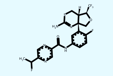 CC(F)c1cnc(C(=O)Nc2ccc(F)c([C@]34CO[C@H](C(F)(F)F)[C@H]3CSC(N)=N4)c2)cn1